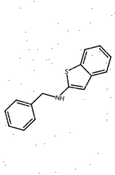 c1ccc(CNc2cc3ccccc3s2)cc1